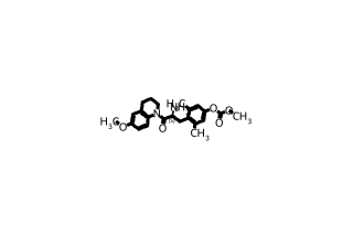 COC(=O)Oc1cc(C)c(C[C@H](N)C(=O)N2CCCc3cc(OC)ccc32)c(C)c1